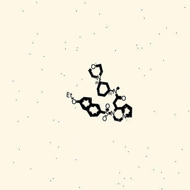 CCOc1ccc2cc(S(=O)(=O)N3CCn4cccc4C3CC(=O)N(C)[C@H]3CCC[C@@H](N4CCOCC4)C3)ccc2c1